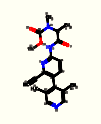 C#Cc1nc(NC(=O)C(C)N(C)C(=O)OC(C)(C)C)ccc1-c1c(C)cncc1C